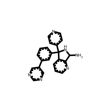 NC1NC(c2ccncc2)(c2cccc(-c3cncnc3)c2)c2cccnc21